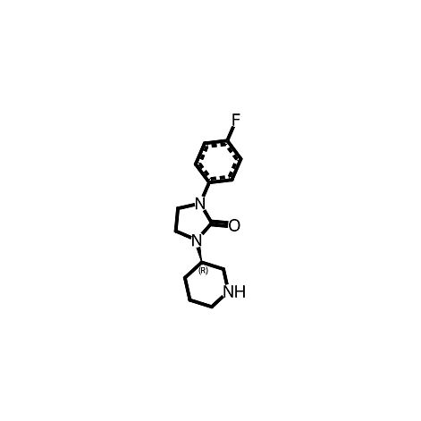 O=C1N(c2ccc(F)cc2)CCN1[C@@H]1CCCNC1